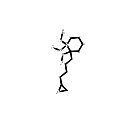 CCOC1(CCCCC2CO2)CCCC[Si]1(OCC)OCC